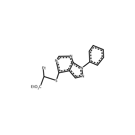 CCOC(=O)C(CC)Sc1ncnc2c1cnn2-c1ccccc1